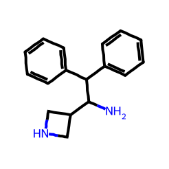 NC(C1CNC1)C(c1ccccc1)c1ccccc1